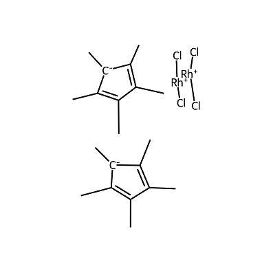 Cc1c(C)c(C)[c-](C)c1C.Cc1c(C)c(C)[c-](C)c1C.[Cl][Rh+][Cl].[Cl][Rh+][Cl]